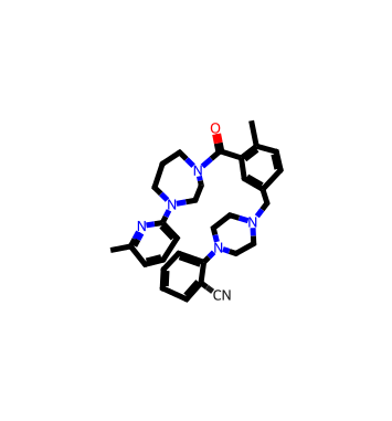 Cc1cccc(N2CCCN(C(=O)c3cc(CN4CCN(c5ccccc5C#N)CC4)ccc3C)CC2)n1